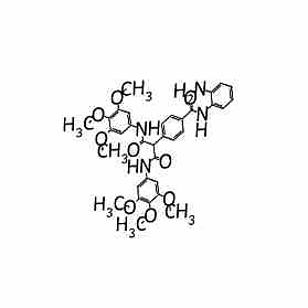 COc1cc(NC(=O)C(C(=O)Nc2cc(OC)c(OC)c(OC)c2)c2ccc(C(=O)Nc3ccccc3N)cc2)cc(OC)c1OC